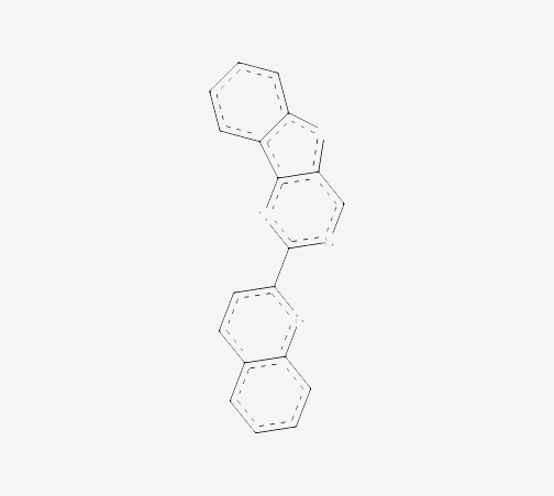 c1ccc2nc(-c3ncc4oc5ccccc5c4n3)ccc2c1